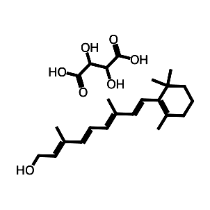 CC1=C(/C=C/C(C)=C/C=C/C(C)=C/CO)C(C)(C)CCC1.O=C(O)C(O)C(O)C(=O)O